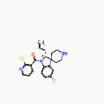 C=CC[C@H]1N(C(=O)c2cccnc2S)c2ccc(F)cc2C12CCNCC2